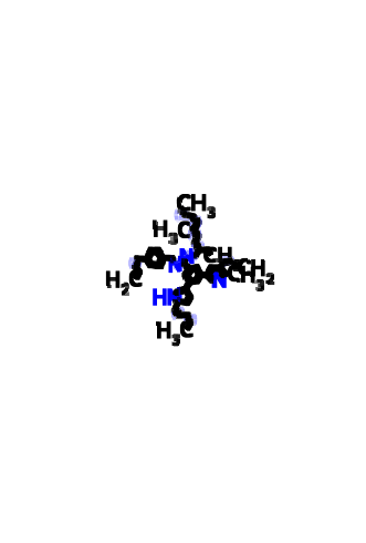 C=C/C=C\c1ccc(C\N=C(/N=C/C(C=C)=C/C=C(C)/C=C\C=C/C)c2cc(C3=CNC(/C=C\C=C/C)C=C3)cc(-c3cnc(C)c(/C=C\C=C)c3)c2)cc1